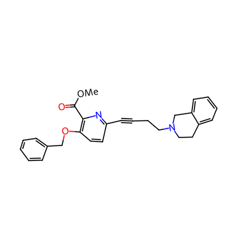 COC(=O)c1nc(C#CCCN2CCc3ccccc3C2)ccc1OCc1ccccc1